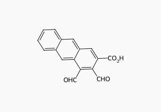 O=Cc1c(C(=O)O)cc2cc3ccccc3cc2c1C=O